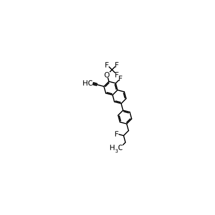 C#Cc1cc2cc(-c3ccc(CC(F)CC)cc3)ccc2c(F)c1OC(F)(F)F